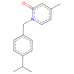 Cc1ccn(Cc2ccc(C(C)C)cc2)c(=O)c1